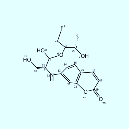 C[C@H](O)C(CF)OC(O)[C@H](CO)Nc1ccc2ccc(=O)oc2c1